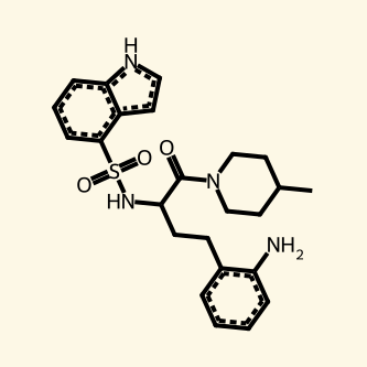 CC1CCN(C(=O)C(CCc2ccccc2N)NS(=O)(=O)c2cccc3[nH]ccc23)CC1